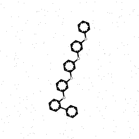 c1ccc(Oc2cccc(Oc3cccc(Oc4cccc(Oc5ccccc5-c5ccccc5)c4)c3)c2)cc1